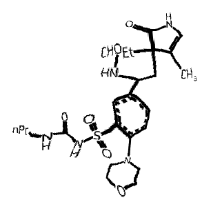 CCCNC(=O)NS(=O)(=O)c1cc(C(CC2(CC)C(=O)NC=C2C)NC=O)ccc1N1CCOCC1